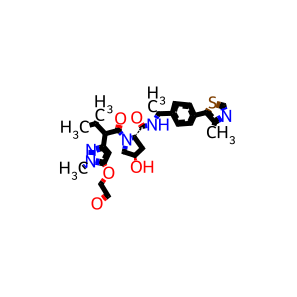 Cc1ncsc1-c1ccc([C@H](C)NC(=O)[C@@H]2C[C@@H](O)CN2C(=O)C(c2cc(OCC=O)n(C)n2)C(C)C)cc1